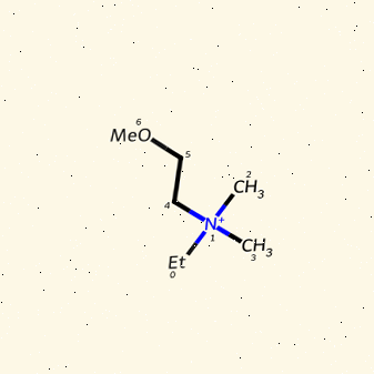 [CH2]C[N+](C)(C)CCOC